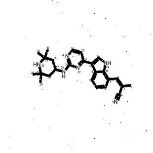 CC(C#N)=Cc1cccc2c(-c3ccnc(NC4CC(C)(C)NC(C)(C)C4)n3)c[nH]c12